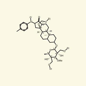 CCOCO[C@@]12CC([S+]([O-])c3ccc(C)cc3)C(=O)[C@@]1(C)CC[C@@H]1[C@H]2CCC2CC(O[C@@H]3O[C@H](C)[C@](O)(COCC)[C@H](OC)[C@]3(O)COCC)CC[C@@]21C